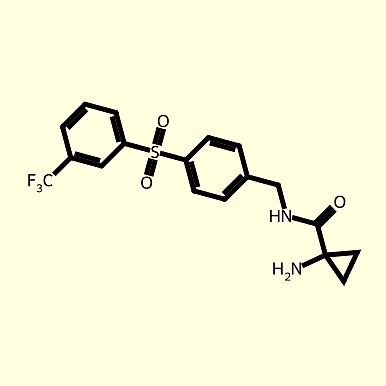 NC1(C(=O)NCc2ccc(S(=O)(=O)c3cccc(C(F)(F)F)c3)cc2)CC1